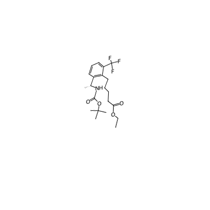 CCOC(=O)CCCCc1c([C@@H](C)NC(=O)OC(C)(C)C)cccc1C(F)(F)F